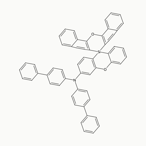 c1ccc(-c2ccc(N(c3ccc(-c4ccccc4)cc3)c3ccc4c(c3)Oc3ccccc3[Si]43c4ccc5ccccc5c4Oc4c3ccc3ccccc43)cc2)cc1